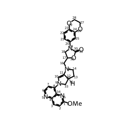 COc1ccc2nccc(N3C=C4[C@@H](CCN4CC4CN(c5ccc6c(c5)OCCO6)C(=O)O4)C3)c2n1